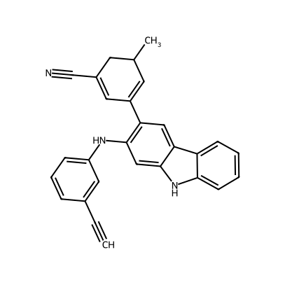 C#Cc1cccc(Nc2cc3[nH]c4ccccc4c3cc2C2=CC(C)CC(C#N)=C2)c1